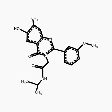 COc1cccc(-c2nc3cc(C)c(O)cc3c(=O)n2CC(=O)NC(C)C)c1